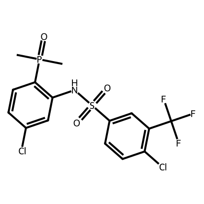 CP(C)(=O)c1ccc(Cl)cc1NS(=O)(=O)c1ccc(Cl)c(C(F)(F)F)c1